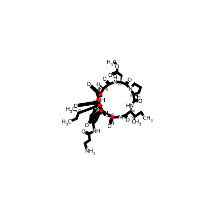 CC[C@H](C)[C@@H]1NC(=O)CNC(=O)[C@@H]2Cc3c([nH]c4ccc(NC(=O)CCN)cc34)SC[C@H](NC(=O)CNC1=O)C(=O)N[C@@H](CC(=O)OC)C(=O)N1CCC[C@H]1C(=O)N[C@@H]([C@@H](C)CC)C(=O)N2